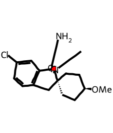 CO[C@H]1CC[C@]2(CC1)Cc1ccc(Cl)cc1C21N=C(N)N(C)O1